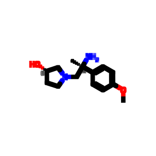 COc1ccc([C@](C)(N)CN2CC[C@H](O)C2)cc1